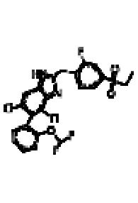 CCS(=O)(=O)c1ccc(Cc2nc3c(Cl)c(-c4ccccc4OC(F)F)c(Cl)cc3[nH]2)c(F)c1